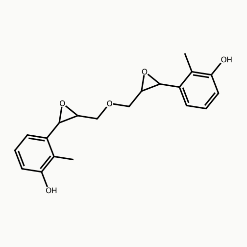 Cc1c(O)cccc1C1OC1COCC1OC1c1cccc(O)c1C